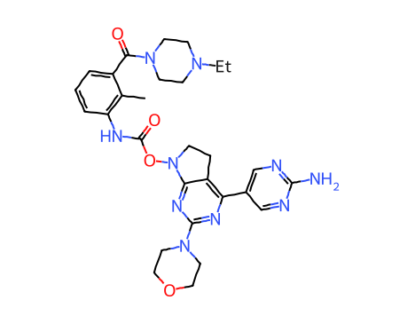 CCN1CCN(C(=O)c2cccc(NC(=O)ON3CCc4c(-c5cnc(N)nc5)nc(N5CCOCC5)nc43)c2C)CC1